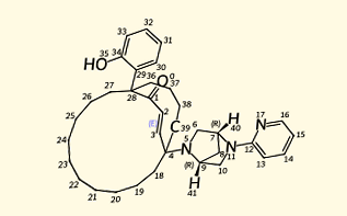 O=C1/C=C/C2(N3C[C@H]4C[C@@H]3CN4c3ccccn3)CCCCCCCCCCC1(c1ccccc1O)CCCC2